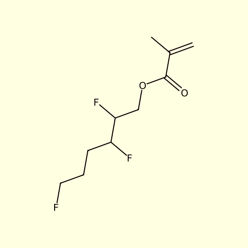 C=C(C)C(=O)OCC(F)C(F)CCCF